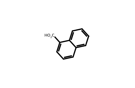 O=C(O)c1cccc2c[c]ccc12